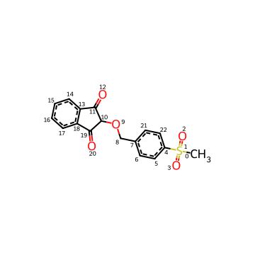 CS(=O)(=O)c1ccc(COC2C(=O)c3ccccc3C2=O)cc1